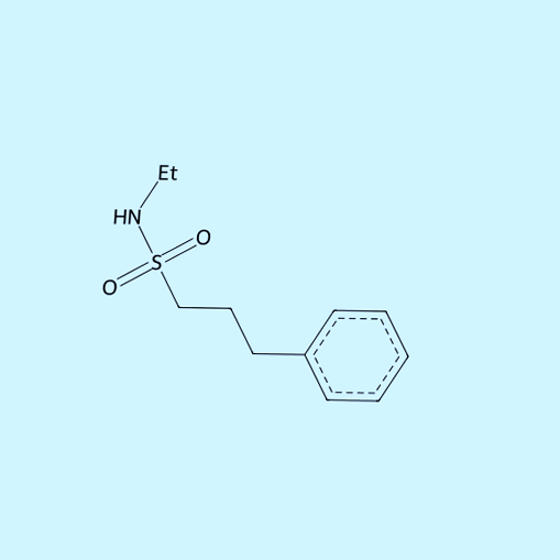 CCNS(=O)(=O)CCCc1ccccc1